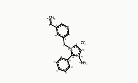 C=Cc1cccc(C[n+]2ccn(CCCC)c2-c2ccccc2)c1.[Cl-]